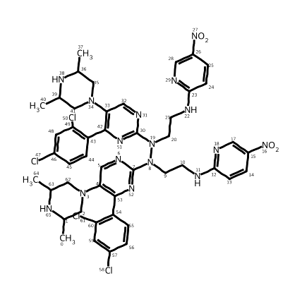 CC1CN(c2cnc(N(CCNc3ccc([N+](=O)[O-])cn3)N(CCNc3ccc([N+](=O)[O-])cn3)c3ncc(N4CC(C)NC(C)C4)c(-c4ccc(Cl)cc4Cl)n3)nc2-c2ccc(Cl)cc2Cl)CC(C)N1